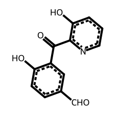 O=Cc1ccc(O)c(C(=O)c2ncccc2O)c1